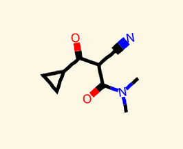 CN(C)C(=O)C(C#N)C(=O)C1CC1